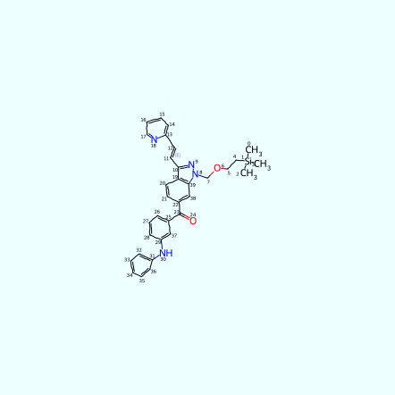 C[Si](C)(C)CCOCn1nc(/C=C/c2ccccn2)c2ccc(C(=O)c3cccc(Nc4ccccc4)c3)cc21